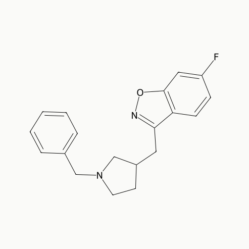 Fc1ccc2c(CC3CCN(Cc4ccccc4)C3)noc2c1